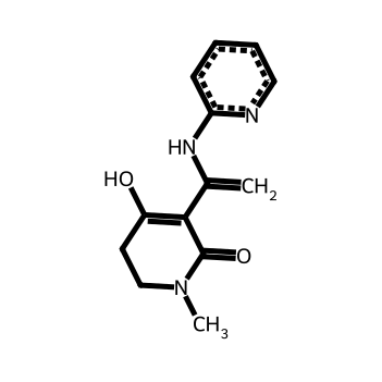 C=C(Nc1ccccn1)C1=C(O)CCN(C)C1=O